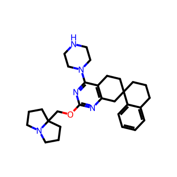 c1ccc2c(c1)CCCC21CCc2c(nc(OCC34CCCN3CCC4)nc2N2CCNCC2)C1